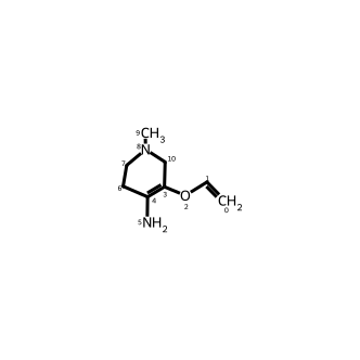 C=COC1=C(N)CCN(C)C1